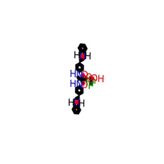 CCC(CC)(C(=O)N[C@H]1CC[C@H](CCN2[C@@H]3CC[C@H]2c2ccccc23)CC1)C(=O)N[C@H]1CC[C@H](CCN2[C@@H]3CC[C@H]2c2ccccc23)CC1.O=C(O)C(F)(F)F